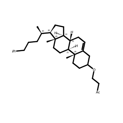 CC(=O)CCOC1CC[C@@]2(C)C(=CC[C@H]3[C@@H]4CC[C@H]([C@H](C)CCCC(C)C)[C@@]4(C)CC[C@@H]32)C1